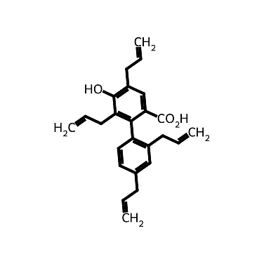 C=CCc1ccc(-c2c(C(=O)O)cc(CC=C)c(O)c2CC=C)c(CC=C)c1